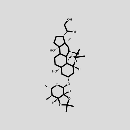 C[C@@H]1[C@H]2OC(C)(C)O[C@H]2[C@H](O[C@H]2C[C@H]3OC(C)(C)OC[C@]34C3C(CC[C@]4(O)C2)[C@@]2(O)CC[C@H](C(O)CO)[C@@]2(C)C[C@H]3C)O[C@H]1C